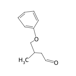 CC(CC=O)COc1ccccc1